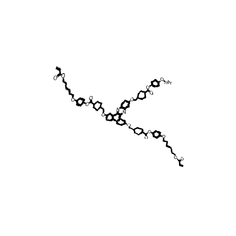 C=CC(=O)OCCCCCCOc1ccc(OC(=O)C2CCC(COc3ccc4c5ccc(OCC6CCC(C(=O)Oc7ccc(OCCCCCCOC(=O)C=C)cc7)CC6)cc5c5nc6cc(OCC7CCC(C(=O)Oc8ccc(OCCC)cc8)CC7)ccc6nc5c4c3)CC2)cc1